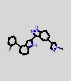 Cn1cc(-c2ccc3[nH]nc(-c4cc5c(-c6ccccc6F)cccc5[nH]4)c3c2)cn1